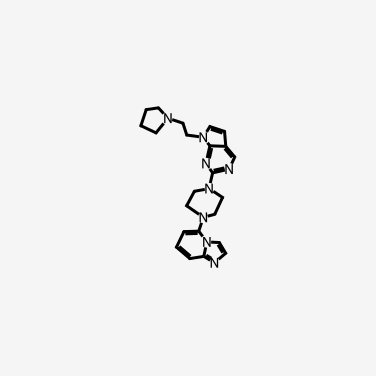 c1cc(N2CCN(c3ncc4ccn(CCN5CCCC5)c4n3)CC2)n2ccnc2c1